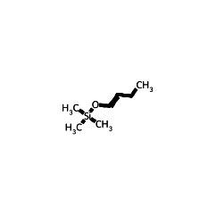 CCC=CO[Si](C)(C)C